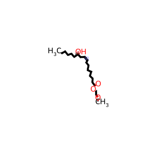 CCCCCC[C@@H](O)C/C=C\CCCCCCCC(=O)OCCOC